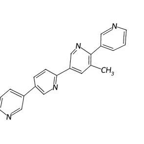 Cc1cc(-c2ccc(-c3cccnc3)cn2)cnc1-c1cccnc1